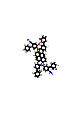 N#Cc1ccc(N(c2ccc3ccc4c(N(c5ccc(C#N)c(-c6ccccc6)c5)c5cccc6c5oc5ccccc56)ccc5ccc2c3c54)c2cccc3c2oc2ccccc23)cc1-c1ccccc1